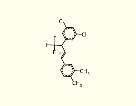 Cc1ccc(/C=C/C(c2cc(Cl)cc(Cl)c2)C(F)(F)F)cc1C